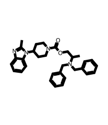 Cc1nc2ccccc2n1C1CCN(C(=O)OCC(C)N(Cc2ccccc2)Cc2ccccc2)CC1